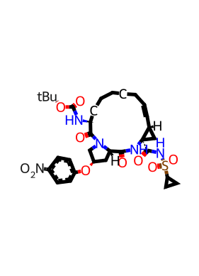 CC(C)(C)OC(=O)N[C@H]1CCCCC/C=C\[C@@H]2C[C@@]2(C(=O)NS(=O)(=O)C2CC2)NC(=O)[C@@H]2C[C@@H](Oc3ccc([N+](=O)[O-])cc3)CN2C1=O